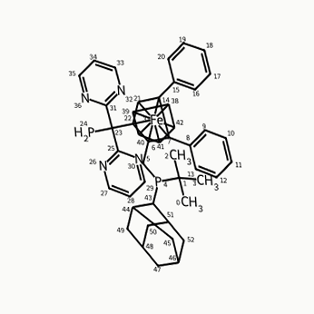 CC(C)(C)P(C[C]12[C]3(c4ccccc4)[C]4(c5ccccc5)[CH]5[C]1(C(P)(c1ncccn1)c1ncccn1)[Fe]54231678[CH]2[CH]1[CH]6[CH]7[CH]28)C1C2CC3CC(C2)CC1C3